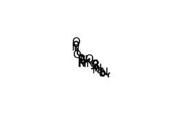 Cc1nn(Cc2cccc(C(C)C)n2)c2cccc(NC(=O)c3cnc4cc(OCCN5CCOCC5)ccn34)c12